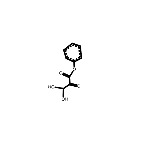 O=C(Oc1ccccc1)C(=O)C(O)O